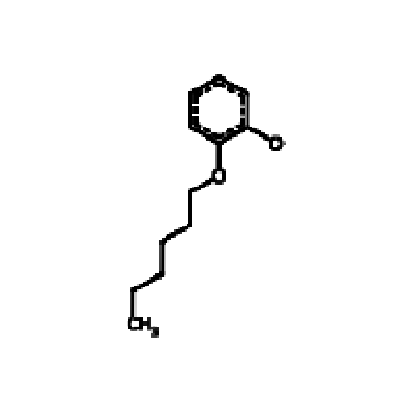 CCCCCCOc1ccccc1[O]